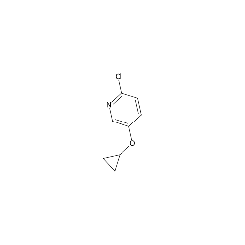 Clc1ccc(OC2CC2)cn1